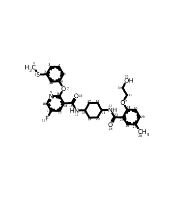 CSc1cccc(Oc2ncc(F)cc2C(=O)NC2CCC(NC(=O)c3cc(C)ccc3OCCO)CC2)c1